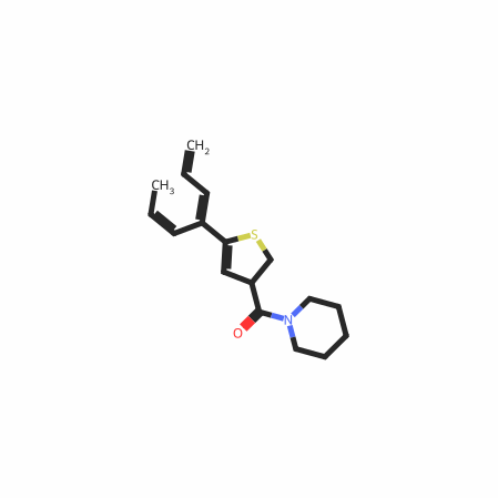 C=C/C=C(\C=C/C)C1=CC(C(=O)N2CCCCC2)CS1